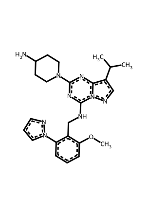 COc1cccc(-n2cccn2)c1CNc1nc(N2CCC(N)CC2)nc2c(C(C)C)cnn12